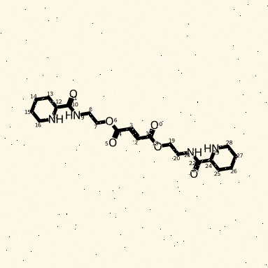 O=C(/C=C/C(=O)OCCNC(=O)C1CCCCN1)OCCNC(=O)C1CCCCN1